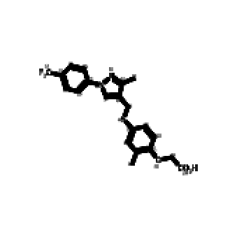 Cc1cc(SCc2cn(-c3ccc(C(F)(F)F)cc3)nc2C)ccc1OCC(=O)O